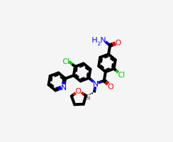 NC(=O)c1ccc(C(=O)N(C[C@@H]2CCCO2)c2ccc(Cl)c(-c3ccccn3)c2)c(Cl)c1